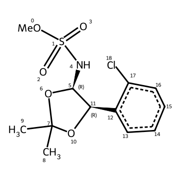 COS(=O)(=O)N[C@@H]1OC(C)(C)O[C@@H]1c1ccccc1Cl